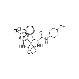 O=C(NC1CCC(O)CC1)C1NC2(CCC2)C2(C(=O)Nc3cc(Cl)ccc32)C1c1cccc(Cl)c1F